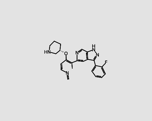 C=N/C=C\C(O[C@H]1CCCNC1)=C(/C)c1cc2c(-c3ccccc3F)n[nH]c2cn1